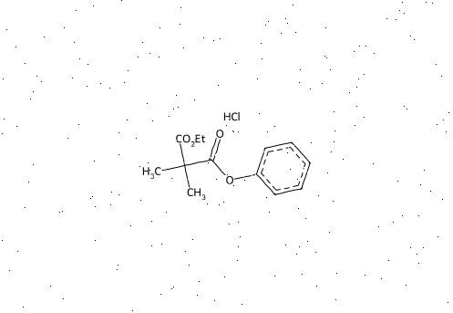 CCOC(=O)C(C)(C)C(=O)Oc1ccccc1.Cl